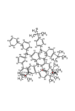 CC(C)(C)c1ccc(-c2cc(C(C)(C)C)ccc2N2c3ccc(C(C)(C)C)cc3B3c4cc(C(C)(C)C)ccc4N(c4ccc(C(C)(C)C)cc4)c4cc(N(c5cccc(-c6ccccc6)c5)c5cccc(-c6ccccc6)c5)cc2c43)cc1